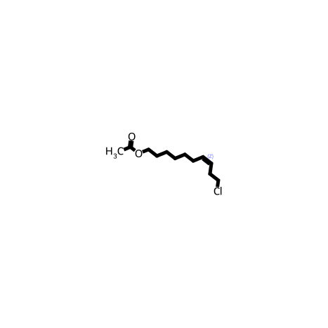 CC(=O)OCCCCCC/C=C\CCCl